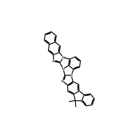 CC1(C)c2ccccc2-c2cc3c(cc21)nc1n3c2cccc3c2n1c1nc2cc4ccccc4cc2n31